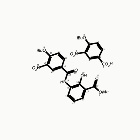 CC(C)COc1ccc(C(=O)O)cc1[N+](=O)[O-].COC(=O)c1cccc(NC(=O)c2ccc(OCC(C)C)c([N+](=O)[O-])c2)c1O